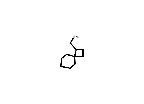 NCC1CCC12CCCCC2